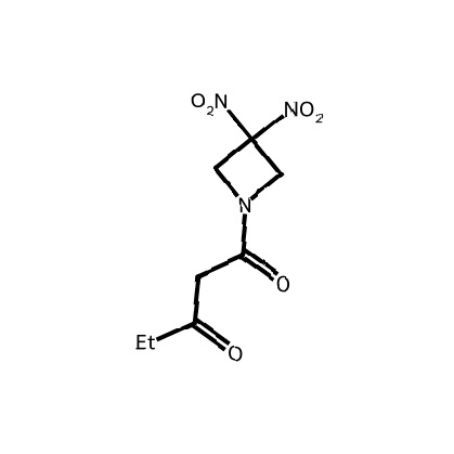 CCC(=O)CC(=O)N1CC([N+](=O)[O-])([N+](=O)[O-])C1